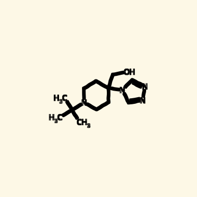 CC(C)(C)N1CCC(CO)(n2cnnc2)CC1